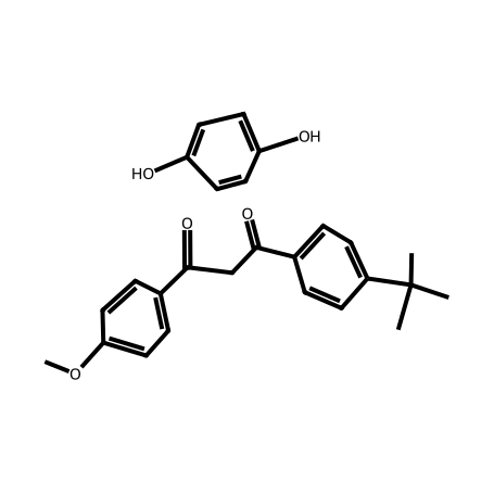 COc1ccc(C(=O)CC(=O)c2ccc(C(C)(C)C)cc2)cc1.Oc1ccc(O)cc1